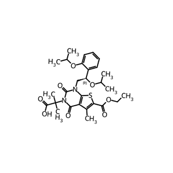 CCOC(=O)c1sc2c(c1C)c(=O)n(C(C)(C)C(=O)O)c(=O)n2C[C@H](OC(C)C)c1ccccc1OC(C)C